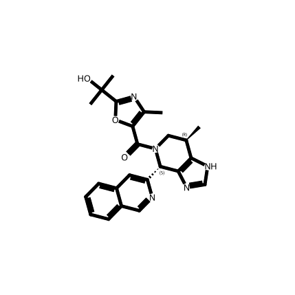 Cc1nc(C(C)(C)O)oc1C(=O)N1C[C@@H](C)c2[nH]cnc2[C@@H]1c1cc2ccccc2cn1